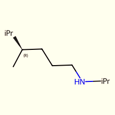 CC(C)NCCC[C@@H](C)C(C)C